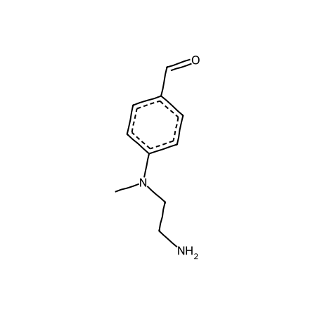 CN(CCN)c1ccc(C=O)cc1